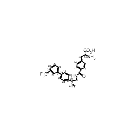 CC(C)[C@@H](CNC(=O)c1ccc(C[C@@H](N)C(=O)O)cc1)c1ccc(-c2cccc(C(F)(F)F)c2)cc1